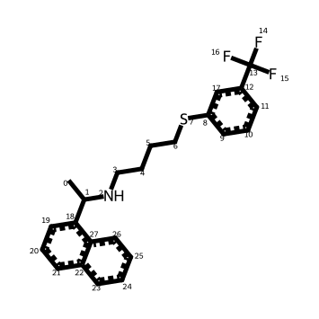 CC(NCCCCSc1cccc(C(F)(F)F)c1)c1cccc2ccccc12